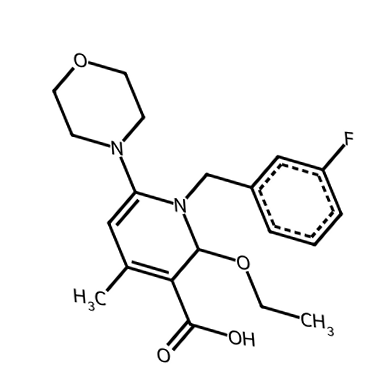 CCOC1C(C(=O)O)=C(C)C=C(N2CCOCC2)N1Cc1cccc(F)c1